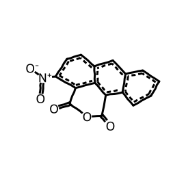 O=C1OC(=O)c2c3ccccc3cc3ccc([N+](=O)[O-])c1c23